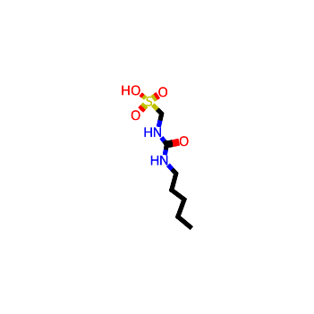 CCCCCNC(=O)NCS(=O)(=O)O